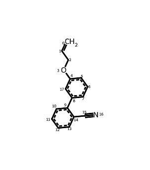 C=CCOc1cccc(-c2ccccc2C#N)c1